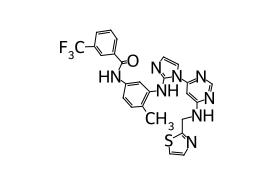 Cc1ccc(NC(=O)c2cccc(C(F)(F)F)c2)cc1Nc1nccn1-c1cc(NCc2nccs2)ncn1